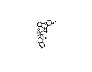 COc1cccc(-c2nnc(NS(=O)(=O)C(C)C(O)c3ccc(F)cc3F)n2-c2c(OC)cccc2OC)n1